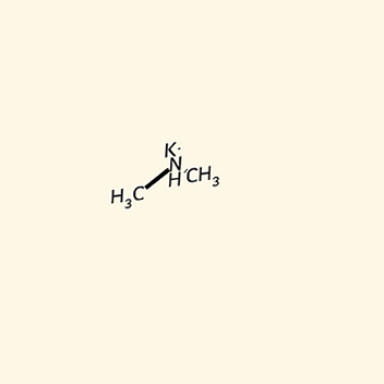 CNC.[K]